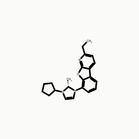 CCc1ccc2c(n1)oc1c(N3C=CN(C4CCCC4)[C@@H]3C)cccc12